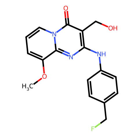 COc1cccn2c(=O)c(CO)c(Nc3ccc(CF)cc3)nc12